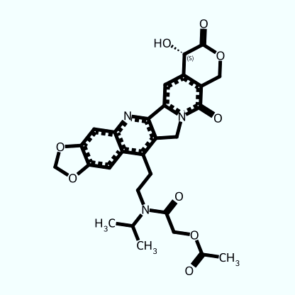 CC(=O)OCC(=O)N(CCc1c2c(nc3cc4c(cc13)OCO4)-c1cc3c(c(=O)n1C2)COC(=O)[C@H]3O)C(C)C